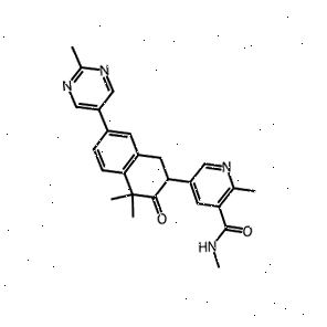 CNC(=O)c1cc(C2Cc3cc(-c4cnc(C)nc4)ccc3C(C)(C)C2=O)cnc1C